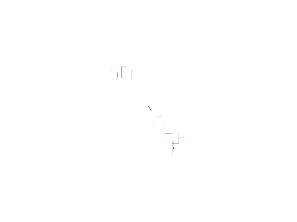 CCCC=CC1CCC(C#Cc2ccc(-c3ccc(F)c(F)c3)cc2)CC1